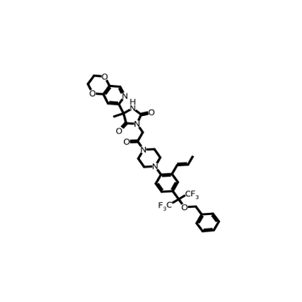 CC=Cc1cc(C(OCc2ccccc2)(C(F)(F)F)C(F)(F)F)ccc1N1CCN(C(=O)CN2C(=O)NC(C)(c3cc4c(cn3)OCCO4)C2=O)CC1